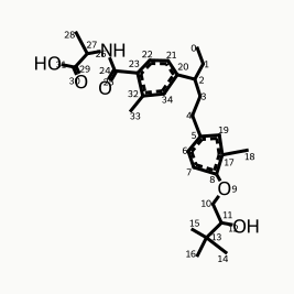 CCC(CCc1ccc(OCC(O)C(C)(C)C)c(C)c1)c1ccc(C(=O)NC(C)C(=O)O)c(C)c1